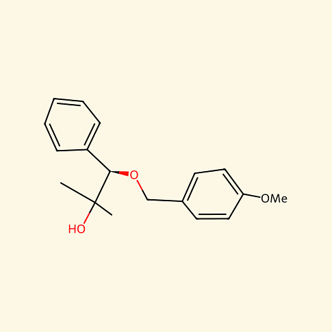 COc1ccc(CO[C@H](c2ccccc2)C(C)(C)O)cc1